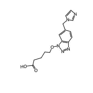 O=C(O)CCCCOn1nnc2ccc(Cn3ccnc3)cc21